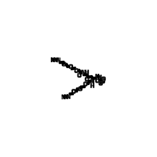 CS(=O)(=O)c1nnc(C(CCCCNC(=O)COCCOCCOCCN=[N+]=[N-])NC(=O)COCCOCCOCCN=[N+]=[N-])o1